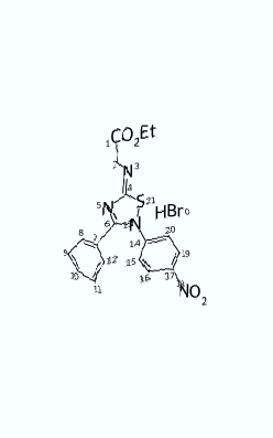 Br.CCOC(=O)C/N=c1\nc(-c2ccccc2)n(-c2ccc([N+](=O)[O-])cc2)s1